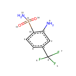 Nc1cc(C(F)(F)F)ccc1S(N)(=O)=O